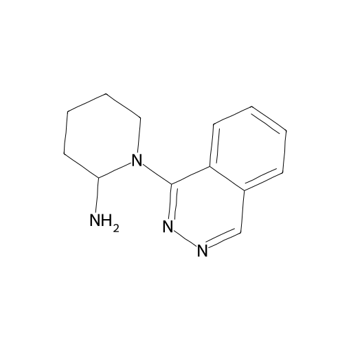 NC1CCCCN1c1nncc2ccccc12